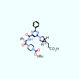 CCCCOC(=O)N1CCN(C(=O)[C@@H](NC(=O)c2cc(N3C[C@@H]4[C@@H](CCC(=O)O)[C@@H]4C3)nc(-c3ccccc3)n2)C(C)C)CC1